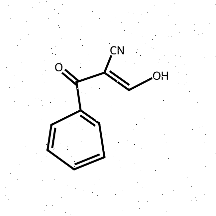 N#CC(=CO)C(=O)c1ccccc1